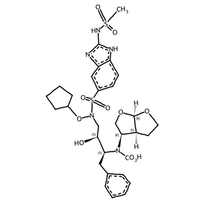 CS(=O)(=O)Nc1nc2cc(S(=O)(=O)N(C[C@H](O)[C@H](Cc3ccccc3)N(C(=O)O)[C@H]3CO[C@H]4OCC[C@H]43)OC3CCCC3)ccc2[nH]1